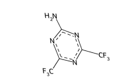 Nc1nc(C(F)(F)F)nc(C(F)(F)F)n1